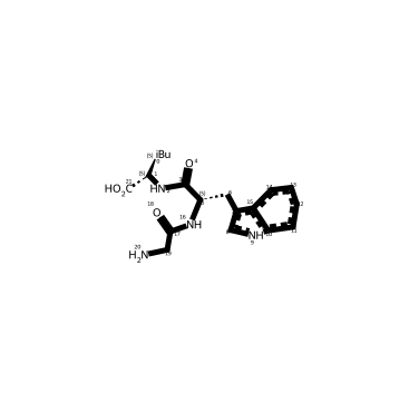 CC[C@H](C)[C@H](NC(=O)[C@H](Cc1c[nH]c2ccccc12)NC(=O)CN)C(=O)O